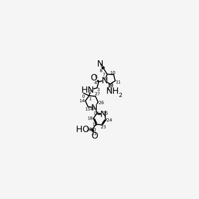 CC1(NCC(=O)N2C(C#N)CC[C@@H]2N)CCN(c2cc(C(=O)O)ccn2)CC1